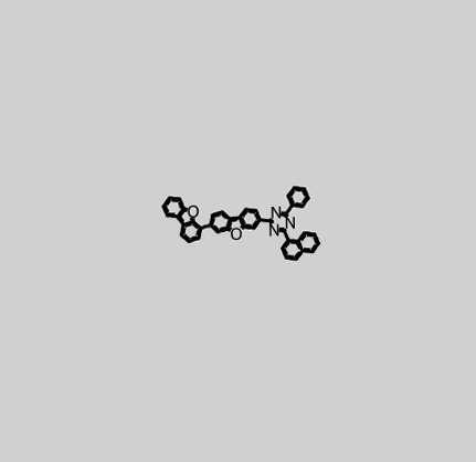 c1ccc(-c2nc(-c3ccc4c(c3)oc3cc(-c5cccc6c5oc5ccccc56)ccc34)nc(-c3cccc4ccccc34)n2)cc1